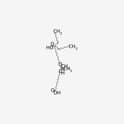 CCCCCC/C=C\CC(C/C=C\CCCCCC)(CCCCCCCCCOCC(C)(COCCCCCCCCCCC(=O)O)NC)C(=O)O